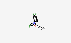 O=C(O)Cc1cn(Cc2cccc(Cl)c2)c2ccc(F)cc2c1=O